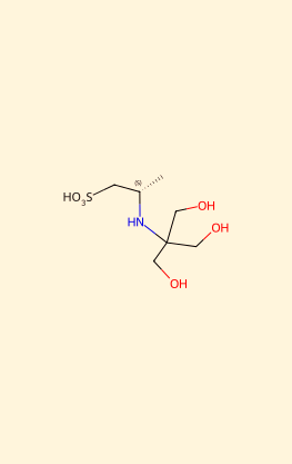 C[C@@H](CS(=O)(=O)O)NC(CO)(CO)CO